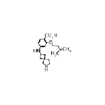 CN(C)CCOc1cc(NC2CC3(CCNC3)C2)ccc1C(=O)O